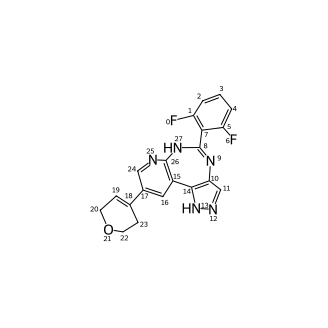 Fc1cccc(F)c1C1=Nc2cn[nH]c2-c2cc(C3=CCOCC3)cnc2N1